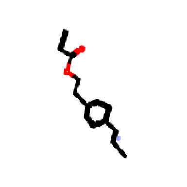 C=CC(=O)OCCc1ccc(/C=C/C)cc1